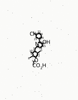 Cc1cc(OCC(=O)O)c(C)c(C)c1Cc1ccc(O)c(-c2cccc(Cl)c2)n1